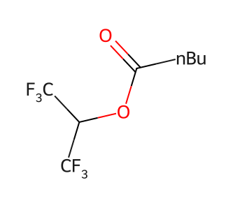 CCCCC(=O)OC(C(F)(F)F)C(F)(F)F